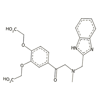 CN(CC(=O)c1ccc(OCC(=O)O)c(OCC(=O)O)c1)Cc1nc2ccccc2[nH]1